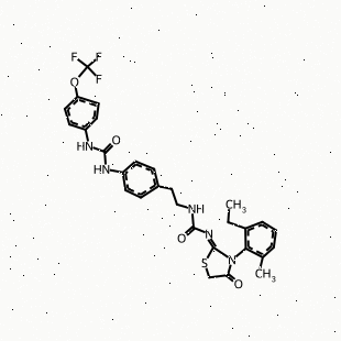 CCc1cccc(C)c1N1C(=O)CS/C1=N\C(=O)NCCc1ccc(NC(=O)Nc2ccc(OC(F)(F)F)cc2)cc1